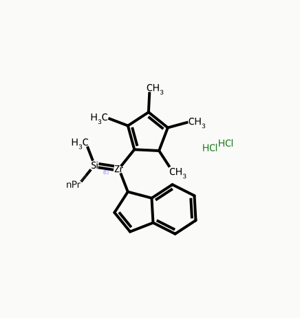 CCC/[Si](C)=[Zr](/[C]1=C(C)C(C)=C(C)C1C)[CH]1C=Cc2ccccc21.Cl.Cl